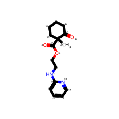 CC1(C(=O)OCCNc2ccccn2)CCCCC1=O